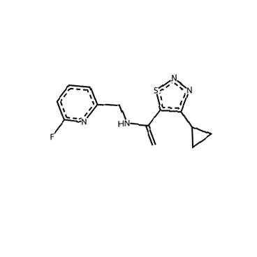 C=C(NCc1cccc(F)n1)c1snnc1C1CC1